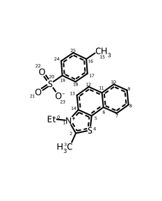 CC[n+]1c(C)sc2c3ccccc3ccc21.Cc1ccc(S(=O)(=O)[O-])cc1